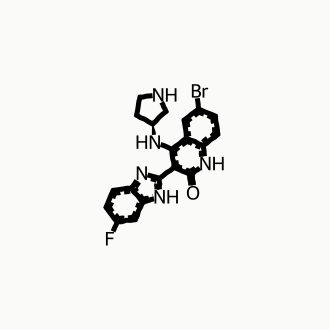 O=c1[nH]c2ccc(Br)cc2c(N[C@H]2CCNC2)c1-c1nc2ccc(F)cc2[nH]1